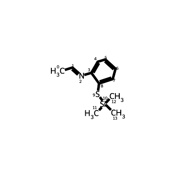 C/C=N/c1ccccc1S[Si](C)(C)C